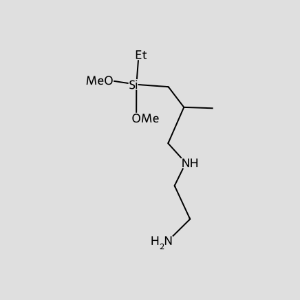 CC[Si](CC(C)CNCCN)(OC)OC